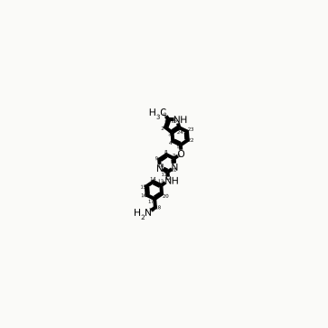 Cc1cc2cc(Oc3ccnc(Nc4cccc(CN)c4)n3)ccc2[nH]1